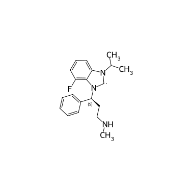 CNCC[C@@H](c1ccccc1)N1[CH]N(C(C)C)c2cccc(F)c21